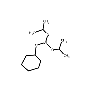 CC(C)[O][Al]([O]C(C)C)[O]C1CCCCC1